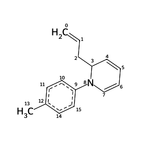 C=CCC1C=CC=CN1c1ccc(C)cc1